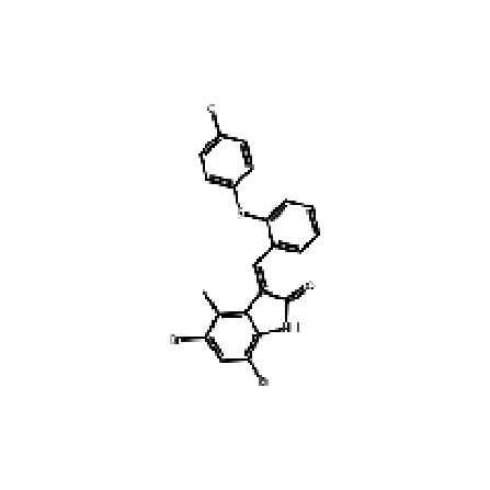 Cc1c(Br)cc(Br)c2c1C(=Cc1ccccc1Sc1ccc(Cl)cc1)C(=O)N2